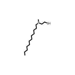 CCCCCCCCCCCCN(C)CCS